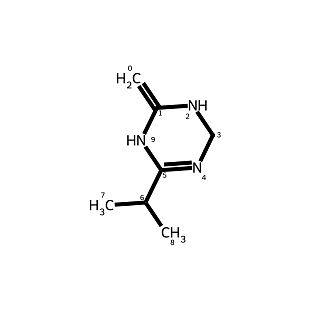 C=C1NCN=C(C(C)C)N1